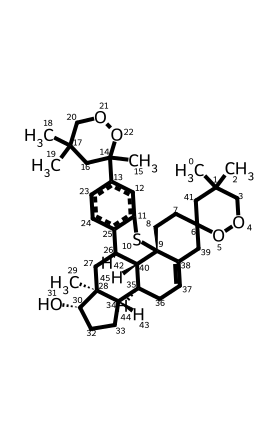 CC1(C)COOC2(CC[C@@]34Sc5cc(C6(C)CC(C)(C)COO6)ccc5[C@H]5C[C@]6(C)[C@@H](O)CC[C@H]6[C@H](CC=C3C2)[C@H]54)C1